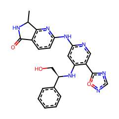 CC1NC(=O)c2ccc(Nc3cc(N[C@H](CO)c4ccccc4)c(-c4ncno4)cn3)nc21